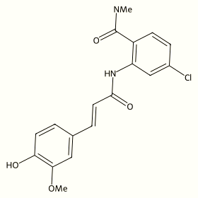 CNC(=O)c1ccc(Cl)cc1NC(=O)/C=C/c1ccc(O)c(OC)c1